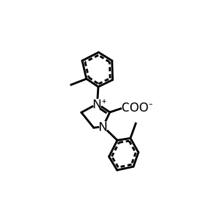 Cc1ccccc1N1CC[N+](c2ccccc2C)=C1C(=O)[O-]